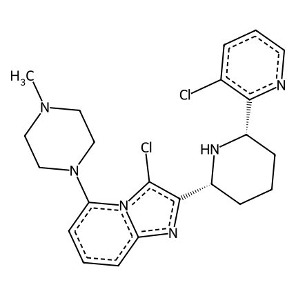 CN1CCN(c2cccc3nc([C@H]4CCC[C@@H](c5ncccc5Cl)N4)c(Cl)n23)CC1